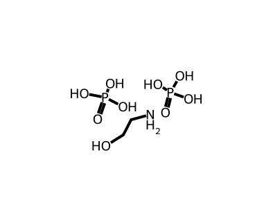 NCCO.O=P(O)(O)O.O=P(O)(O)O